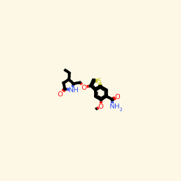 CCC1CC(=O)NC1COc1csc2cc(C(N)=O)c(OC)cc12